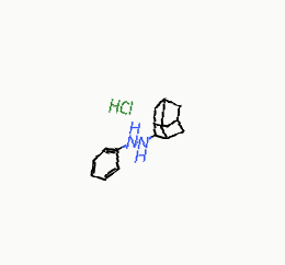 Cl.c1ccc(NNC2C3CC4CC(C3)CC2C4)cc1